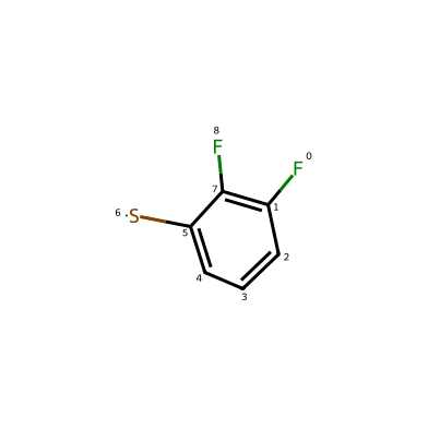 Fc1cccc([S])c1F